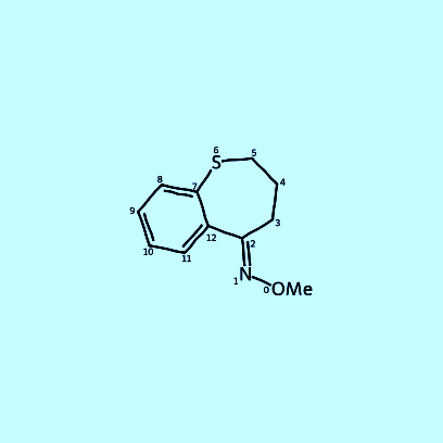 CON=C1CCCSc2ccccc21